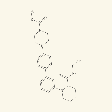 CC(C)(C)OC(=O)N1CCN(c2ccc(-c3cccc(N4CCCCC4C(=O)NCC#N)c3)cc2)CC1